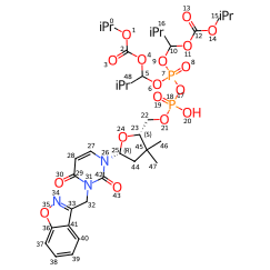 CC(C)OC(=O)OC(OP(=O)(OC(OC(=O)OC(C)C)C(C)C)OP(=O)(O)OC[C@H]1O[C@@H](n2ccc(=O)n(Cc3noc4ccccc34)c2=O)CC1(C)C)C(C)C